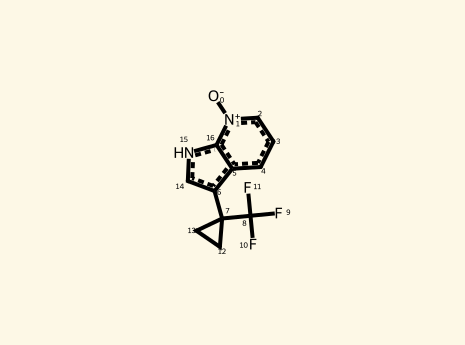 [O-][n+]1cccc2c(C3(C(F)(F)F)CC3)c[nH]c21